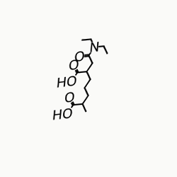 CCN(CC)C(=O)CC(CCCC(C)C(=O)O)C(=O)O